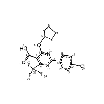 O=C(O)c1c(OC2CCCC2)nc(-c2ccc(Cl)cc2)nc1C(F)(F)F